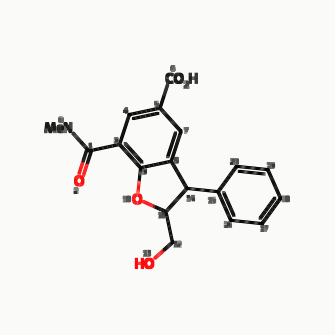 CNC(=O)c1cc(C(=O)O)cc2c1OC(CO)C2c1ccccc1